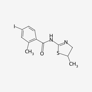 Cc1cc(I)ccc1C(=O)NC1=NCC(C)S1